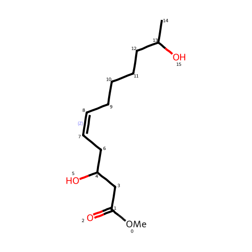 COC(=O)CC(O)C/C=C\CCCCC(C)O